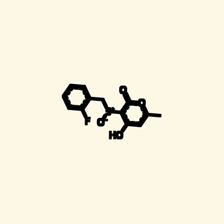 Cc1cc(O)c([S+]([O-])Cc2ccccc2F)c(=O)o1